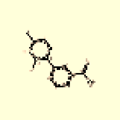 Cc1ccc(-c2cccc(C(=O)O)c2)c(C)n1